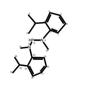 CC(C)c1ccccc1N(C)PN(C)c1ccccc1C(C)C